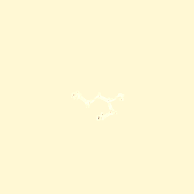 CCC(COC(F)(F)F)OC(C)C